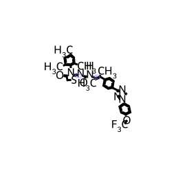 C/C(NC(=O)/N=C1\SCC(=O)N1c1c(C)cc(C)cc1C)=C(/C)c1ccc(-c2ncn(-c3ccc(OC(F)(F)F)cc3)n2)cc1